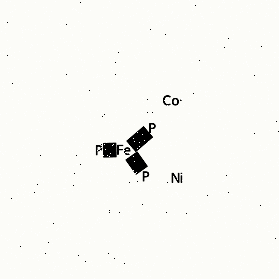 [Co].[Ni].[P]#[Fe](#[P])#[P]